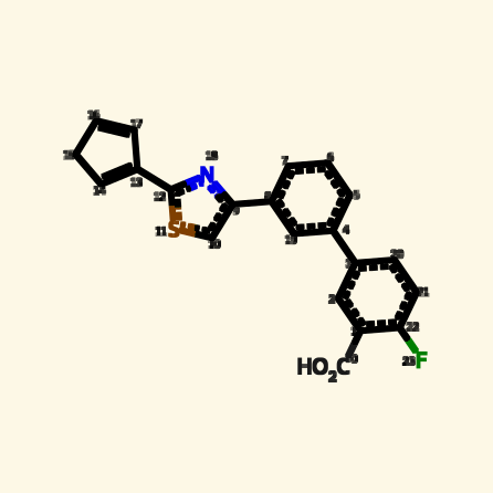 O=C(O)c1cc(-c2cccc(-c3csc(C4=CCC=C4)n3)c2)ccc1F